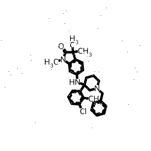 Cc1c(Cl)cccc1C1(Nc2ccc3c(c2)N(C)C(=O)C3(C)C)CCCN(Cc2ccccc2)C1